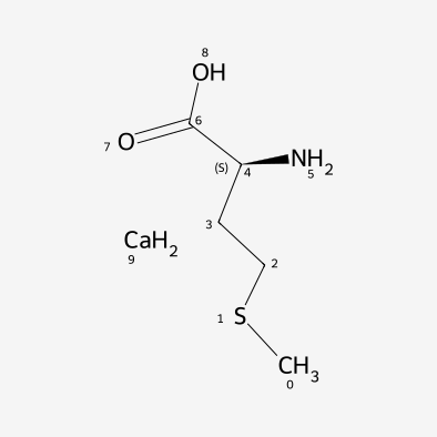 CSCC[C@H](N)C(=O)O.[CaH2]